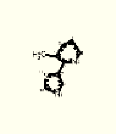 Cc1cccnc1-c1cncs1